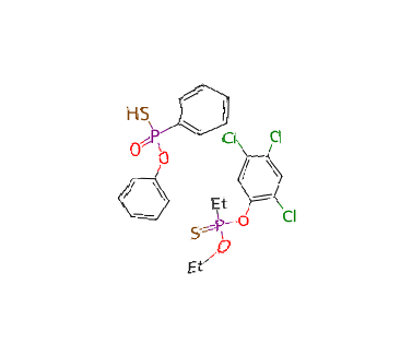 CCOP(=S)(CC)Oc1cc(Cl)c(Cl)cc1Cl.O=P(S)(Oc1ccccc1)c1ccccc1